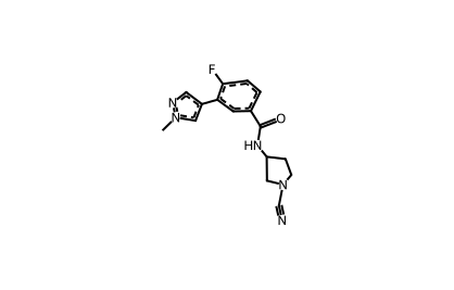 Cn1cc(-c2cc(C(=O)NC3CCN(C#N)C3)ccc2F)cn1